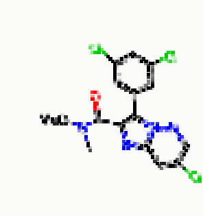 CON(C)C(=O)c1nc2cc(Cl)cnn2c1-c1cc(Cl)cc(Cl)c1